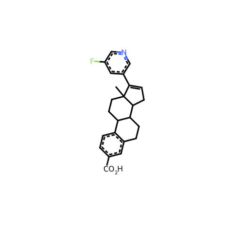 CC12CCC3c4ccc(C(=O)O)cc4CCC3C1CC=C2c1cncc(F)c1